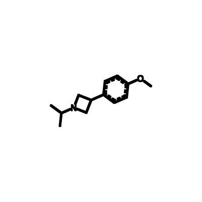 COc1ccc(C2CN(C(C)C)C2)cc1